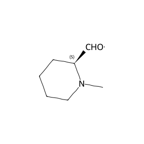 CN1CCCC[C@H]1[C]=O